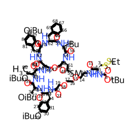 CCSSC[C@H](NC(=O)OC(C)(C)C)C(=O)NCCOCCOCC(=O)N[C@@H](Cc1ccc(OCC(C)C)cc1)C(=O)N[C@@H](COCC(C)C)C(=O)N[C@H](C(=O)N[C@H]1COC(=O)[C@H](CCSC)NC(=O)[C@H](C(C)CC)NC(=O)[C@H](Cc2ccccc2)NC(=O)[C@H](Cc2ccc(OCC(C)C)cc2)NC1=O)C(C)OCC(C)C